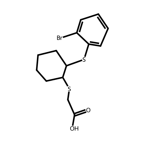 O=C(O)CSC1CCCCC1Sc1ccccc1Br